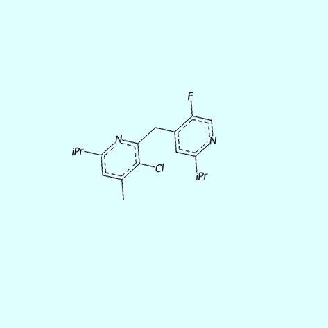 Cc1cc(C(C)C)nc(Cc2cc(C(C)C)ncc2F)c1Cl